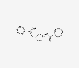 O=C(O[C@H]1CCN(C[C@@H](O)c2ccccc2)C1)c1ccccc1